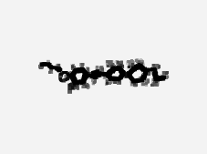 CCCCOc1ccc(C#Cc2ccc([C@H]3CC[C@H](CCC)CC3)cc2)cc1F